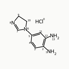 Cl.Nc1ccc(N2C=NCC2)cc1N